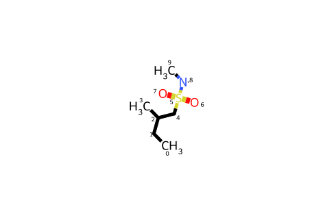 CCC(C)CS(=O)(=O)[N]C